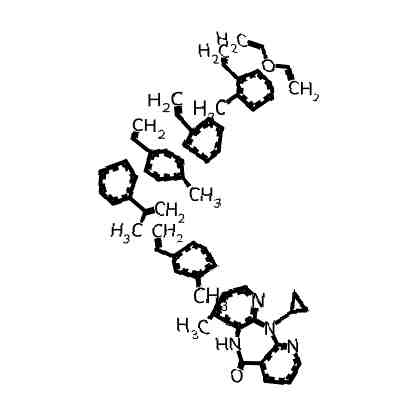 C=C(C)c1ccccc1.C=COC=C.C=Cc1ccc(C)cc1.C=Cc1cccc(C)c1.C=Cc1ccccc1.C=Cc1ccccc1C.Cc1ccnc2c1NC(=O)c1cccnc1N2C1CC1